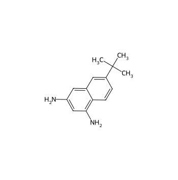 CC(C)(C)c1ccc2c(N)cc(N)cc2c1